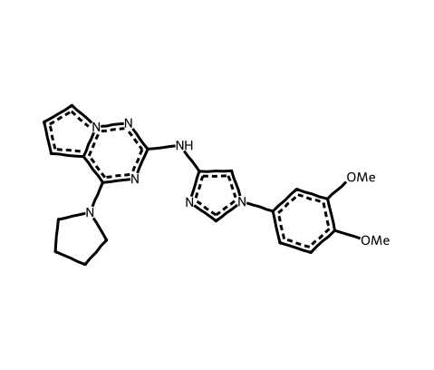 COc1ccc(-n2cnc(Nc3nc(N4CCCC4)c4cccn4n3)c2)cc1OC